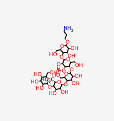 NCCCOC1OC(CO)C(OC2OC(CO)C(OC3OC(CO)C(OC4OC(C(=O)O)C(OC5OC(CO)C(O)C(O)C5O)C(O)C4O)C(O)C3O)C(O)C2O)C(O)C1O